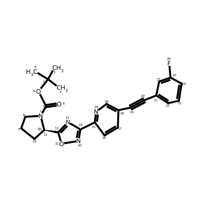 CC(C)(C)OC(=O)N1CCC[C@@H]1c1nc(-c2ccc(C#Cc3cccc(F)c3)cn2)no1